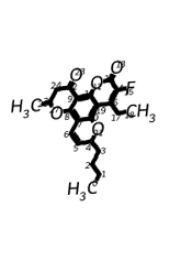 CCCCC1C=Cc2c3c(c4oc(=O)c(F)c(CC)c4c2O1)C(=O)CC(C)O3